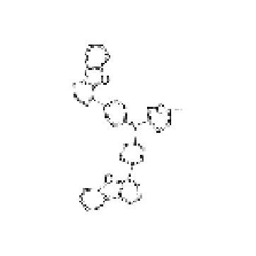 Cc1ccc(N(c2ccc(-c3cccc4c3oc3ccccc34)cc2)c2ccc(-c3cccc4c3oc3ccccc34)cc2)cc1